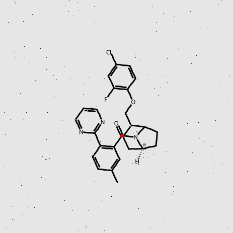 Cc1ccc(-c2ncccn2)c(C(=O)N2C3CC[C@H]2CCC3COc2ccc(Cl)cc2F)c1